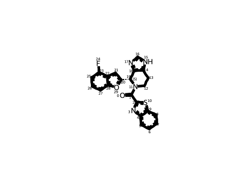 O=C(c1nc2ccccc2s1)N1CCc2[nH]cnc2[C@H]1c1cc2c(F)cccc2o1